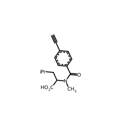 [C]#Cc1ccc(C(=O)N(C)C(CC(C)C)C(=O)O)cc1